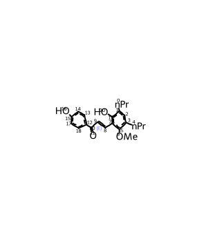 CCCc1cc(CCC)c(OC)c(/C=C/C(=O)c2ccc(O)cc2)c1O